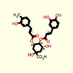 Cc1ccc(/C=C/C(=O)O[C@@H]2CC(O)(C(=O)O)C[C@@H](O)[C@@H]2OC(=O)/C=C/c2ccc(O)c(O)c2)cc1O